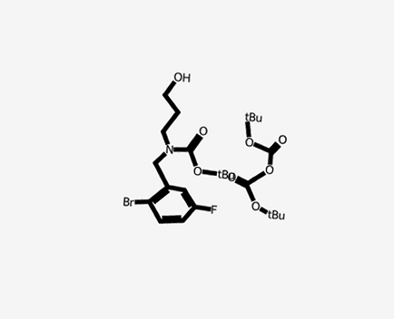 CC(C)(C)OC(=O)N(CCCO)Cc1cc(F)ccc1Br.CC(C)(C)OC(=O)OC(=O)OC(C)(C)C